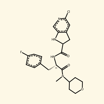 CN(C(=O)[C@H](Cc1ccc(F)cc1)NC(=O)C1Cc2cc(Cl)ncc2N1)C1CCOCC1